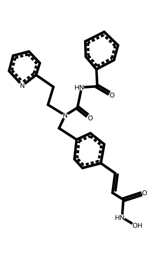 O=C(C=Cc1ccc(CN(CCc2ccccn2)C(=O)NC(=O)c2ccccc2)cc1)NO